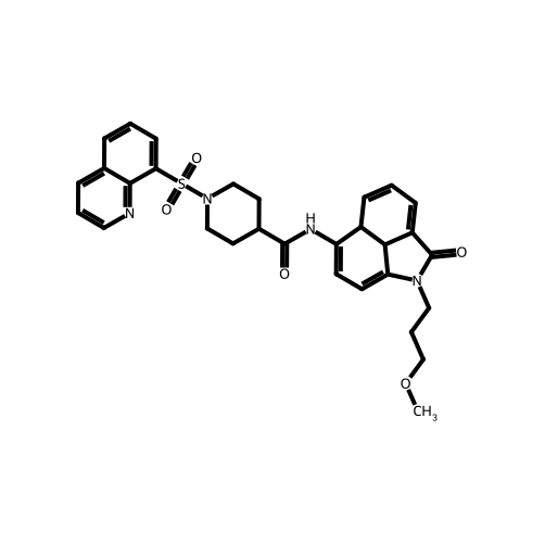 COCCCN1C(=O)C2=CC=CC3C(NC(=O)C4CCN(S(=O)(=O)c5cccc6cccnc56)CC4)=CC=C1C23